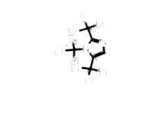 BrC(Br)(Br)c1cnc(C(Br)(Br)Br)n1C(Br)(Br)Br